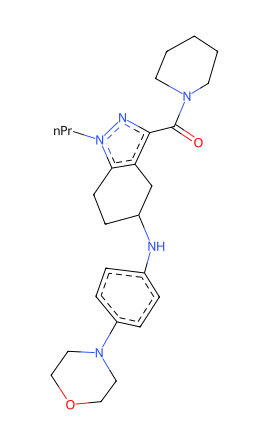 CCCn1nc(C(=O)N2CCCCC2)c2c1CCC(Nc1ccc(N3CCOCC3)cc1)C2